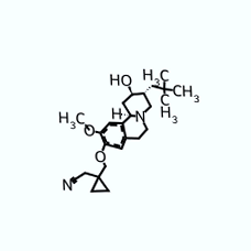 COc1cc2c(cc1OCC1(CC#N)CC1)CCN1C[C@@H](CC(C)(C)C)[C@H](O)C[C@H]21